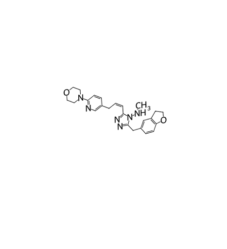 CNn1c(/C=C\Cc2ccc(N3CCOCC3)nc2)nnc1Cc1ccc2c(c1)CCO2